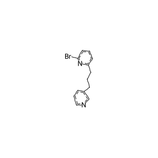 Brc1cccc(CCCc2cccnc2)n1